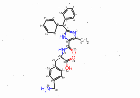 Cc1nc(C(c2ccccc2)C2C=CC=CC2)[nH]c1C(=O)N[C@@H](Cc1ccc(CN)cc1)C(=O)O